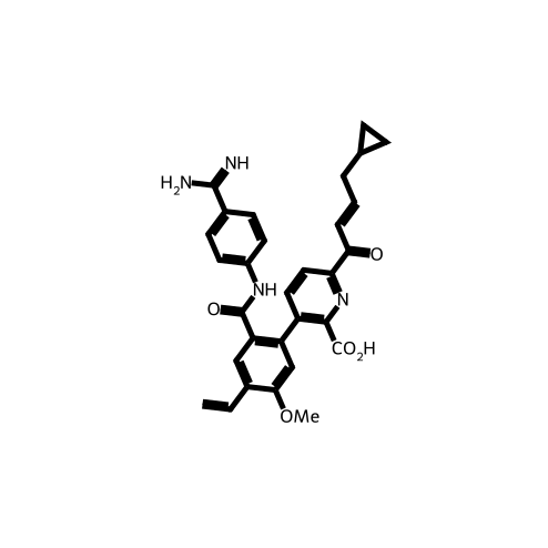 C=Cc1cc(C(=O)Nc2ccc(C(=N)N)cc2)c(-c2ccc(C(=O)C=CCC3CC3)nc2C(=O)O)cc1OC